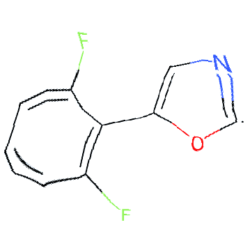 Fc1cccc(F)c1-c1cn[c]o1